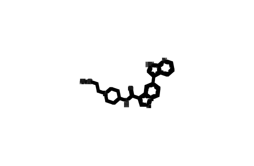 COCCN1CCC(NC(=O)c2cnn3ccc(-c4c[nH]c5ncccc45)cc23)CC1